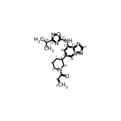 C=CC(=O)N1CCCC(c2cc(Nc3nc(C(C)C)no3)c3ncnn3c2)C1